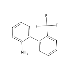 Nc1ccccc1-c1ccccc1C(F)(F)F